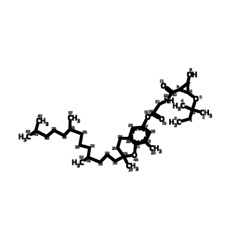 CCC(C)(C)OC1C(O)C1C(=O)NCC(=O)Oc1cc(C)c2c(c1)CCC(C)(CCCC(C)CCCC(C)CCCC(C)C)O2